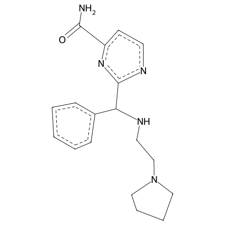 NC(=O)c1ccnc(C(NCCN2CCCC2)c2ccccc2)n1